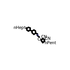 CCCCCCCC1CCC(C2CCC(/C=C/COc3ccc(CCCCC)c(C#N)c3C#N)CC2)CC1